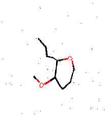 [CH2]CCC1OCCCC1OC